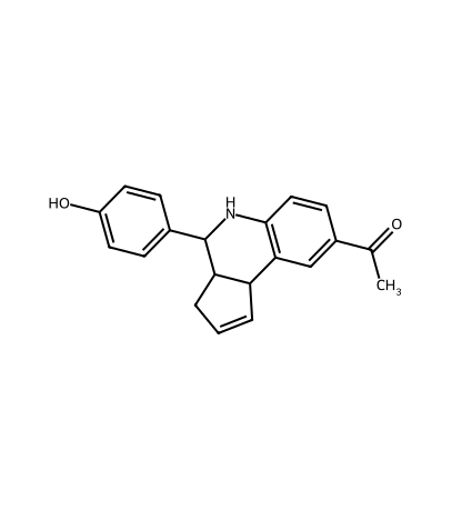 CC(=O)c1ccc2c(c1)C1C=CCC1C(c1ccc(O)cc1)N2